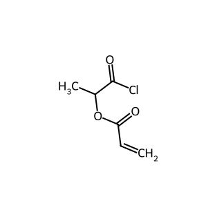 C=CC(=O)OC(C)C(=O)Cl